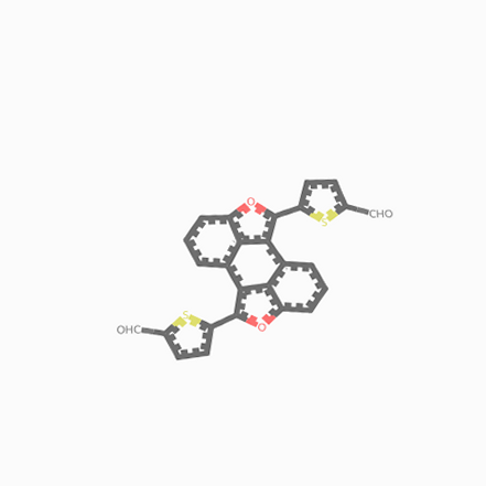 O=Cc1ccc(-c2oc3cccc4c5c(-c6ccc(C=O)s6)oc6cccc(c2c34)c65)s1